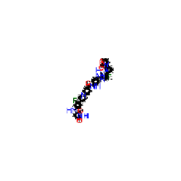 O=C1CCC(Nc2ccc(C3CCN([C@H]4CC[C@H](C(=O)NC5CCC(Nc6ncc(F)c(-c7cccc(N8CCCOC8=O)n7)n6)CC5)CC4)CC3)c(F)c2)C(=O)N1